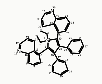 CC[Si]1(CC)C(c2cccc3ncccc23)=C(c2ccccc2)C(c2ccccc2)=C1c1cccc2ncccc12